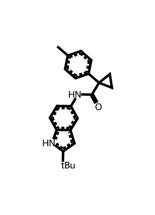 Cc1ccc(C2(C(=O)Nc3ccc4[nH]c(C(C)(C)C)cc4c3)CC2)cc1